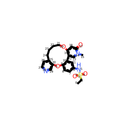 CCS(=O)(=O)Nc1ccc2c(c1)-c1cn(C)c(=O)cc1OCCCCc1ccncc1O2